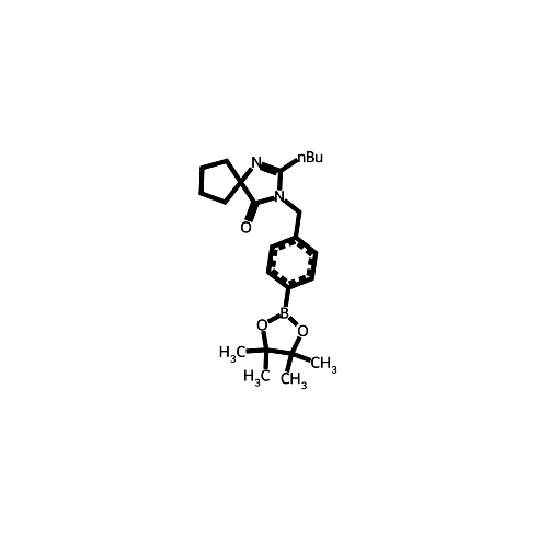 CCCCC1=NC2(CCCC2)C(=O)N1Cc1ccc(B2OC(C)(C)C(C)(C)O2)cc1